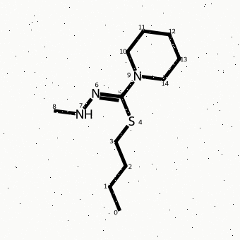 CCCCSC(=NNC)N1CCCCC1